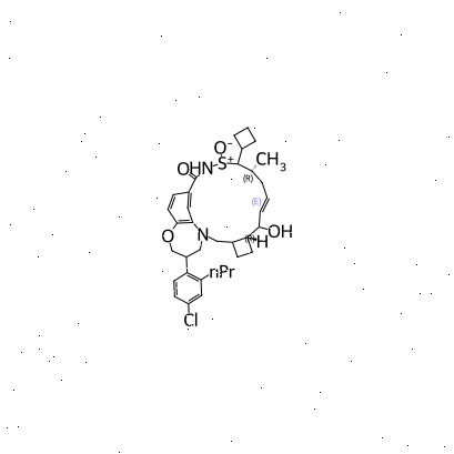 CCCc1cc(Cl)ccc1C1COc2ccc3cc2N(C1)CC1CC[C@H]1C(O)/C=C/C[C@@H](C)C(C1CCC1)[S+]([O-])NC3=O